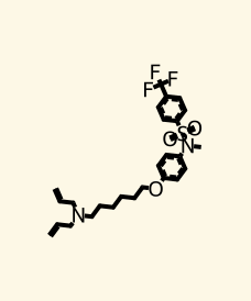 C=CCN(CC=C)CCCCCCOc1ccc(N(C)S(=O)(=O)c2ccc(C(F)(F)F)cc2)cc1